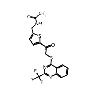 CC(=O)NCc1ccc(C(=O)CSc2nc(C(F)(F)F)nc3ccccc23)s1